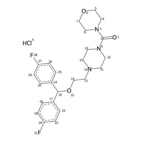 Cl.O=C(N1CCOCC1)N1CCN(CCOC(c2ccc(F)cc2)c2ccc(F)cc2)CC1